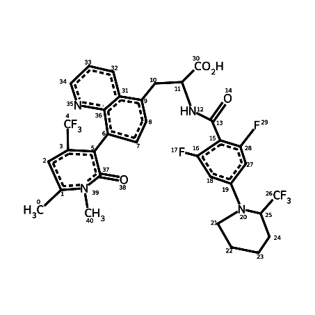 Cc1cc(C(F)(F)F)c(-c2ccc(CC(NC(=O)c3c(F)cc(N4CCCCC4C(F)(F)F)cc3F)C(=O)O)c3cccnc23)c(=O)n1C